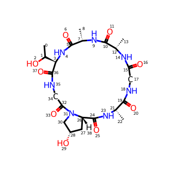 CC(O)[C@H]1NC(=O)[C@H](C)NC(=O)[C@H](C)NC(=O)CNC(=O)[C@H](C)NC(=O)[C@@H]2C[C@H](O)CN2C(=O)CNC1=O